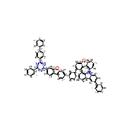 c1ccc(-c2ccc(-c3nc(-c4ccccc4)nc(-c4ccc5c(c4)oc4cc(-c6cccc(-c7ccc8oc9cccc(-n%10c%11ccccc%11c%11cc(-c%12ccccc%12)ccc%11%10)c9c8c7)c6)ccc45)n3)cc2)cc1